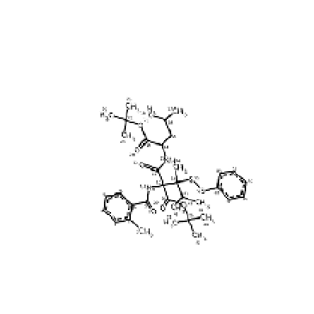 Cc1ccccc1C(=O)NC(C(=O)NC(CC(C)C)C(=O)OC(C)(C)C)(C(=O)OC(C)(C)C)C(C)(SSc1ccccc1)C(C)C